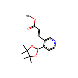 CC(C)(C)OC(=O)/C=C/c1cnccc1B1OC(C)(C)C(C)(C)O1